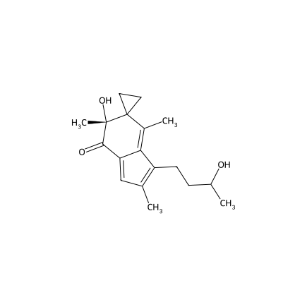 CC1=C(CCC(C)O)C2=C(C)C3(CC3)[C@@](C)(O)C(=O)C2=C1